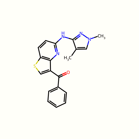 Cc1cn(C)nc1Nc1ccc2scc(C(=O)c3ccccc3)c2n1